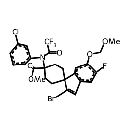 COCOc1cc2c(cc1F)C=C(Br)C21CCC(C(=O)OC)(N(C(=O)C(F)(F)F)c2cccc(Cl)c2)CC1